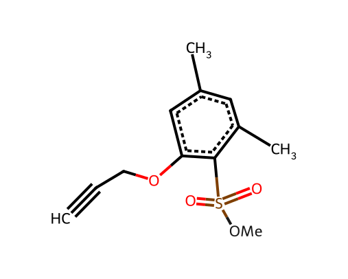 C#CCOc1cc(C)cc(C)c1S(=O)(=O)OC